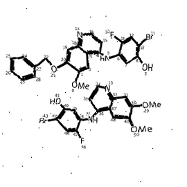 COc1cc2c(Nc3cc(O)c(Br)cc3F)ccnc2cc1OCc1ccccc1.COc1cc2nccc(Nc3cc(O)c(Br)cc3F)c2cc1OC